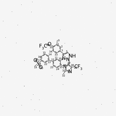 Cc1cc(C2=CNN(C)N2c2cc(-c3cccc(S(C)(=O)=O)c3)ccc2-n2cc(C(F)(F)F)nc2C)ccc1OC(F)(F)F